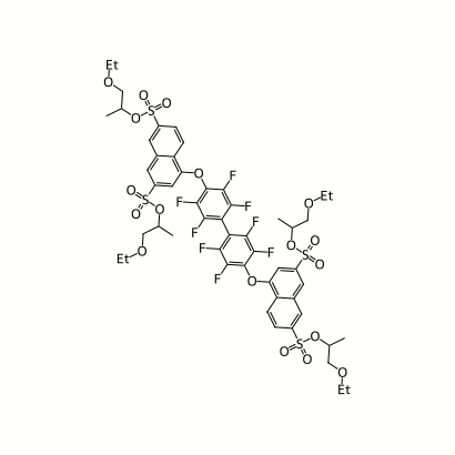 CCOCC(C)OS(=O)(=O)c1ccc2c(Oc3c(F)c(F)c(-c4c(F)c(F)c(Oc5cc(S(=O)(=O)OC(C)COCC)cc6cc(S(=O)(=O)OC(C)COCC)ccc56)c(F)c4F)c(F)c3F)cc(S(=O)(=O)OC(C)COCC)cc2c1